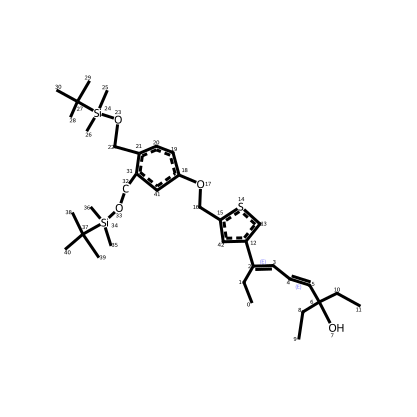 CC/C(=C\C=C\C(O)(CC)CC)c1csc(COc2ccc(CO[Si](C)(C)C(C)(C)C)c(CO[Si](C)(C)C(C)(C)C)c2)c1